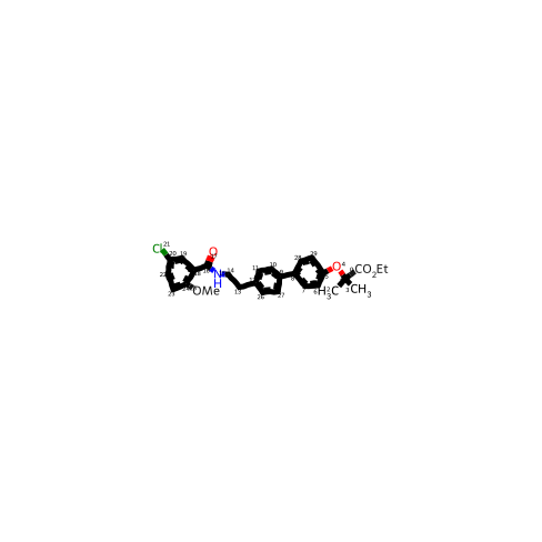 CCOC(=O)C(C)(C)Oc1ccc(-c2ccc(CCNC(=O)c3cc(Cl)ccc3OC)cc2)cc1